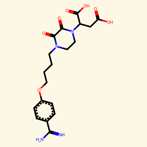 N=C(N)c1ccc(OCCCCN2CCN(C(CC(=O)O)C(=O)O)C(=O)C2=O)cc1